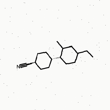 CCC1CCC([C@H]2CC[C@H](C#N)CC2)C(C)C1